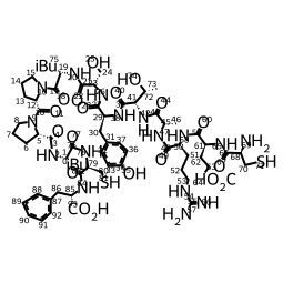 CC[C@H](C)[C@H](NC(=O)[C@@H]1CCCN1C(=O)[C@@H]1CCCN1C(=O)[C@@H](NC(=O)[C@H](CO)NC(=O)[C@H](Cc1ccc(O)cc1)NC(=O)[C@@H](NC(=O)[C@H](C)NC(=O)[C@H](CCCNC(=N)N)NC(=O)[C@H](CCC(=O)O)NC(=O)[C@@H](N)CS)[C@@H](C)O)[C@@H](C)CC)C(=O)N[C@@H](CS)C(=O)N[C@@H](Cc1ccccc1)C(=O)O